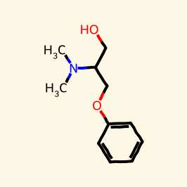 CN(C)C(CO)COc1ccccc1